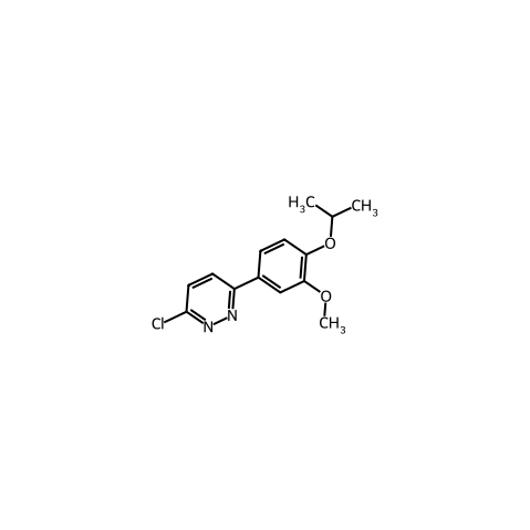 COc1cc(-c2ccc(Cl)nn2)ccc1OC(C)C